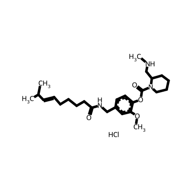 CNCC1CCCCN1C(=O)Oc1ccc(CNC(=O)CCCCC=CC(C)C)cc1OC.Cl